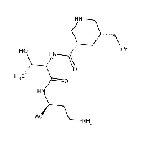 CC(=O)[C@H](CCN)NC(=O)[C@@H](NC(=O)[C@@H]1CNC[C@H](CC(C)C)C1)[C@H](C)O